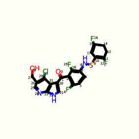 O=C(c1c(F)ccc(NSC2=C(F)CCC(F)=C2)c1F)c1c[nH]c2ncc(CO)c(Cl)c12